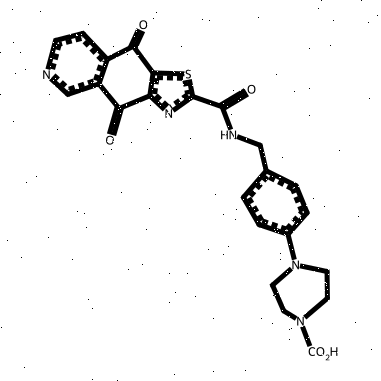 O=C(NCc1ccc(N2CCN(C(=O)O)CC2)cc1)c1nc2c(s1)C(=O)c1ccncc1C2=O